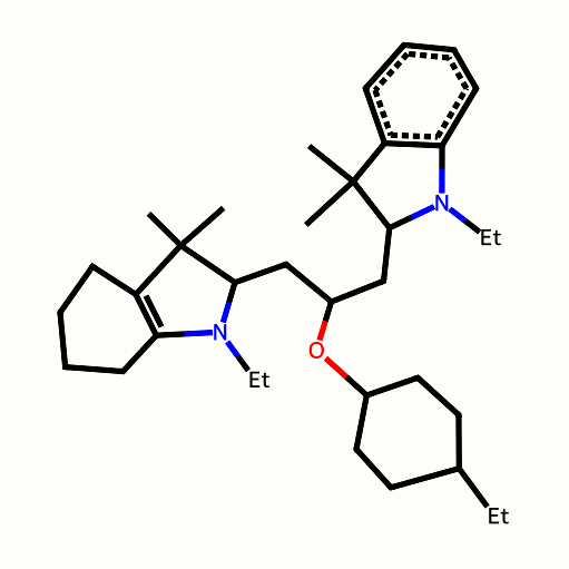 CCC1CCC(OC(CC2N(CC)C3=C(CCCC3)C2(C)C)CC2N(CC)c3ccccc3C2(C)C)CC1